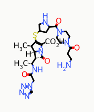 C[C@@H](NC(=O)Cn1cnnn1)[C@H]1C(=O)N2C(C(=O)O)=C(SC3CNC(C(=O)N4CCN(C(=O)CCN)CC4)C3)[C@H](C)[C@H]12